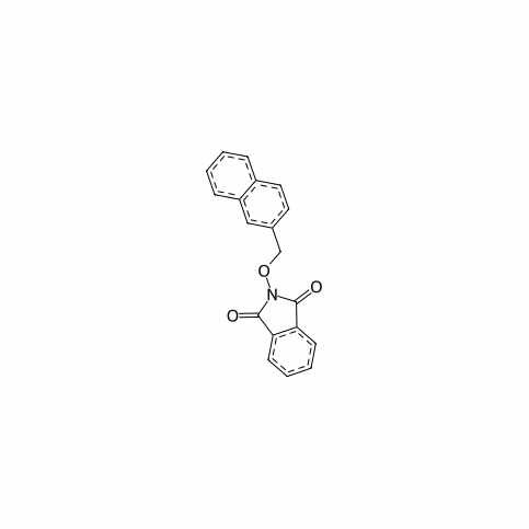 O=C1c2ccccc2C(=O)N1OCc1ccc2ccccc2c1